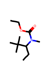 CCOC(=O)N(C)C(CC)C(C)(C)C